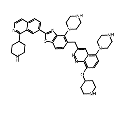 c1cc2ccc(-c3nc4c(N5CCNCC5)c(Cc5cc6c(N7CCNCC7)ccc(OC7CCNCC7)c6nn5)ccc4s3)cc2c(C2CCNCC2)n1